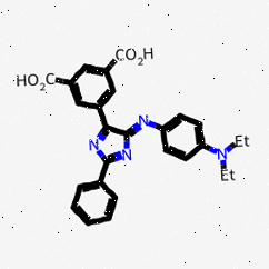 CCN(CC)c1ccc(N=C2N=C(c3ccccc3)N=C2c2cc(C(=O)O)cc(C(=O)O)c2)cc1